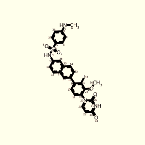 CNc1ccc(S(=O)(=O)Nc2ccc3cc(-c4ccc(-n5ccc(=O)[nH]c5=O)c(OC)c4I)ccc3c2)cc1